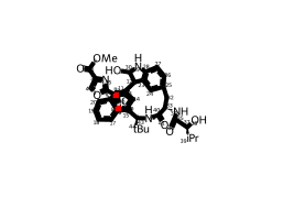 COC(=O)c1coc(-c2nc3oc2[C@]2(c4ccc5ccccc5c4)c4cc(ccc4NC2O)C[C@H](NC(=O)[C@@H](O)C(C)C)C(=O)N[C@H]3C(C)(C)C)n1